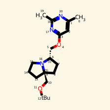 Cc1cc(OC[C@@H]2CC[C@]3(COC(C)(C)C)CCCN23)nc(C)n1